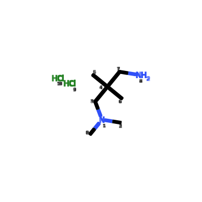 CN(C)CC(C)(C)CN.Cl.Cl